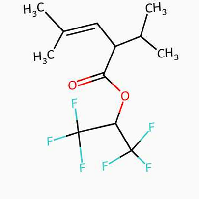 CC(C)=CC(C(=O)OC(C(F)(F)F)C(F)(F)F)C(C)C